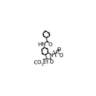 CCOC(=O)C1(C)C(=O)N(C(C)(C)P(=O)=O)c2cc(NC(=O)c3ccccc3)ccc21